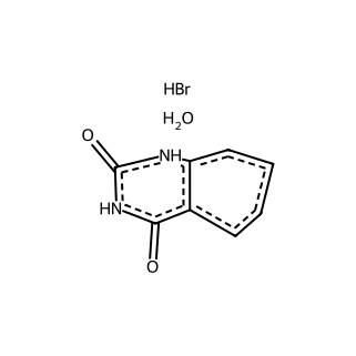 Br.O.O=c1[nH]c(=O)c2ccccc2[nH]1